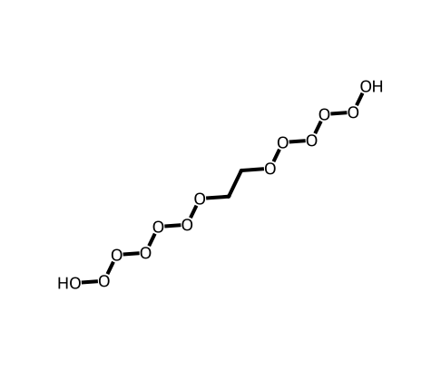 OOOOOOCCOOOOOOO